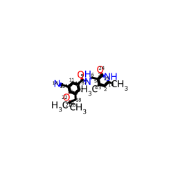 Cc1cc(C)c(CNC(=O)c2cc(C#N)c3c(c2)CC(C)(C)O3)c(=O)[nH]1